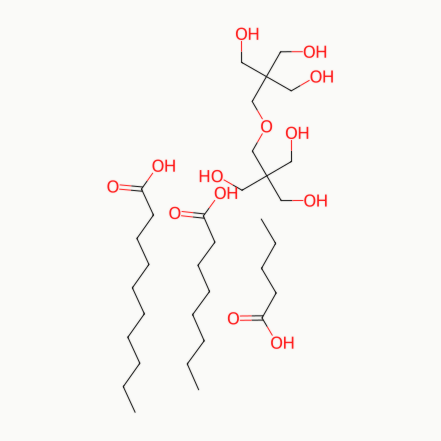 CCCCC(=O)O.CCCCCCCC(=O)O.CCCCCCCCCC(=O)O.OCC(CO)(CO)COCC(CO)(CO)CO